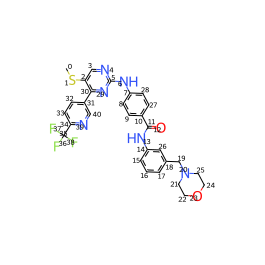 CSc1cnc(Nc2ccc(C(=O)Nc3cccc(CN4CCOCC4)c3)cc2)nc1-c1ccc(C(F)(F)F)nc1